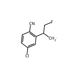 [CH2]C(CF)c1cc(Cl)ccc1C#N